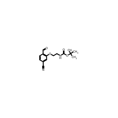 CC(C)(C)OC(=O)NCCOc1cc(C#N)ccc1C=O